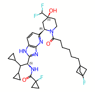 O=C(CCCCCC12CC(F)(C1)C2)N1CC[C@@](O)(C(F)F)C[C@@H]1c1ccc2[nH]c([C@@H](NC(=O)C3(F)CC3)C(C3CC3)C3CC3)nc2n1